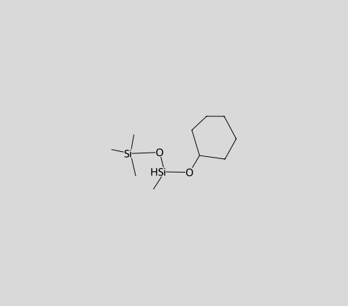 C[SiH](OC1CCCCC1)O[Si](C)(C)C